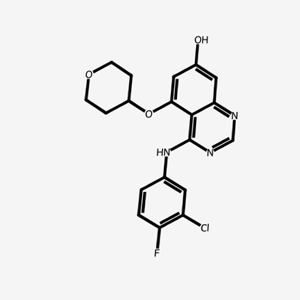 Oc1cc(OC2CCOCC2)c2c(Nc3ccc(F)c(Cl)c3)ncnc2c1